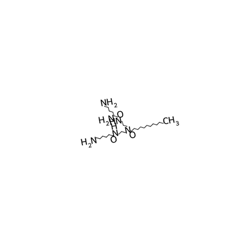 CCCCCCCCCCCC(=O)N(CCCNC(=O)CCCCCN)CCCNC(=O)[C@@H](N)CCCCN